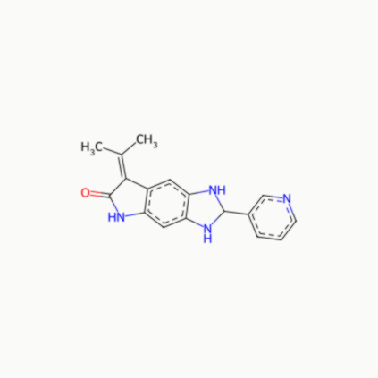 CC(C)=C1C(=O)Nc2cc3c(cc21)NC(c1cccnc1)N3